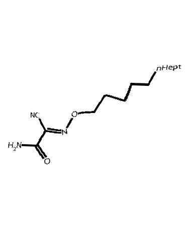 CCCCCCCCCCCCO/N=C(\C#N)C(N)=O